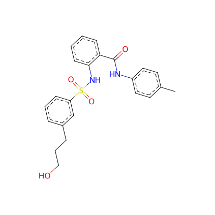 Cc1ccc(NC(=O)c2ccccc2NS(=O)(=O)c2cccc(CCCO)c2)cc1